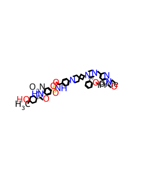 COc1cc(CN2CCN(C3CC4(CCN(c5ccc(C(=O)NS(=O)(=O)c6cc7c(c([N+](=O)[O-])c6)N[C@@H](C6CCC(C)(O)CC6)CO7)cc5)CC4)C3)[C@@H](c3ccccc3OC(C)C)C2)cnc1N1CCOCC1